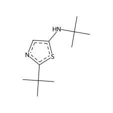 CC(C)(C)Nc1cnc(C(C)(C)C)s1